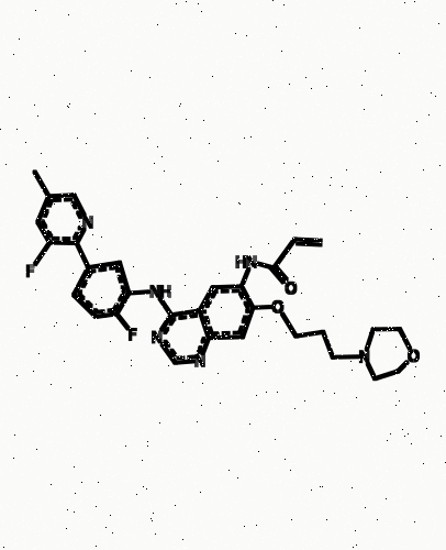 C=CC(=O)Nc1cc2c(Nc3cc(-c4ncc(C)cc4F)ccc3F)ncnc2cc1OCCCN1CCOCC1